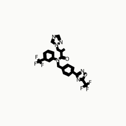 CC(Cn1cncn1)C(=O)N(Cc1ccc(-c2noc(C(F)(F)F)n2)cc1)c1cccc(C(F)(F)F)c1